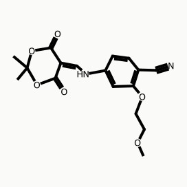 COCCOc1cc(NC=C2C(=O)OC(C)(C)OC2=O)ccc1C#N